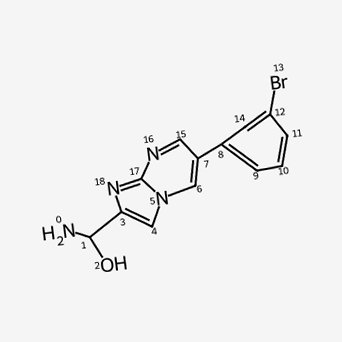 NC(O)c1cn2cc(-c3cccc(Br)c3)cnc2n1